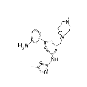 Cc1cnc(Nc2cc(CN3CCCN(C)CC3)cc(-c3cccc(N)c3)n2)s1